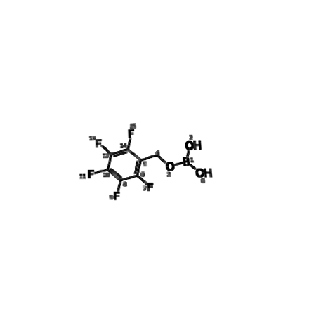 OB(O)OCc1c(F)c(F)c(F)c(F)c1F